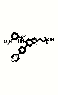 CC(C)(O)CCn1cc2cc(NC(=O)c3cccc([N+](=O)[O-])c3)c(-c3ccc(N4CCOCC4)cc3)cc2n1